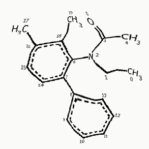 CCN(C(C)=O)c1c(-c2ccccc2)ccc(C)c1C